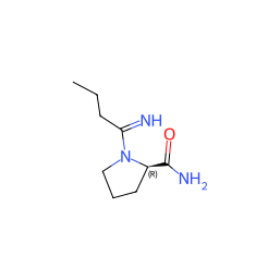 CCCC(=N)N1CCC[C@@H]1C(N)=O